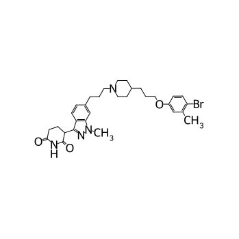 Cc1cc(OCCCC2CCN(CCCc3ccc4c(C5CCC(=O)NC5=O)nn(C)c4c3)CC2)ccc1Br